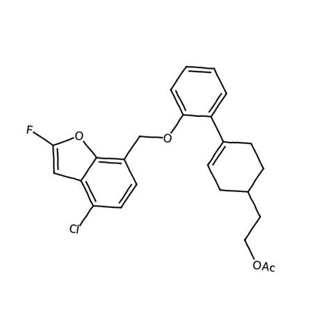 CC(=O)OCCC1CC=C(c2ccccc2OCc2ccc(Cl)c3cc(F)oc23)CC1